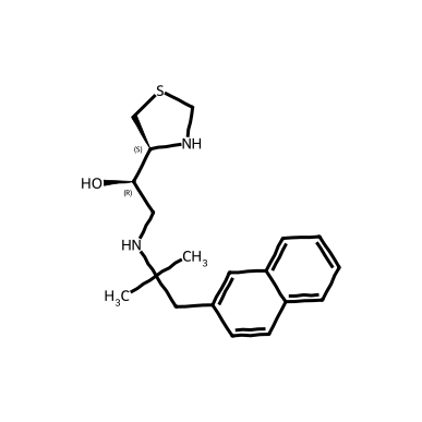 CC(C)(Cc1ccc2ccccc2c1)NC[C@@H](O)[C@H]1CSCN1